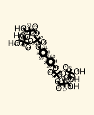 CC(CO)(CO)C(=O)OCC(C)(COC(=O)C(C)(CO)CO)C(=O)Oc1ccc(-c2ccc(OC(=O)C(C)(COC(=O)C(C)(CO)CO)COC(=O)C(C)(CO)CO)cc2)cc1